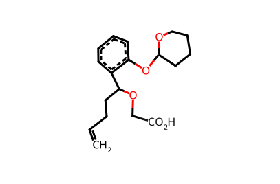 C=CCCC(OCC(=O)O)c1ccccc1OC1CCCCO1